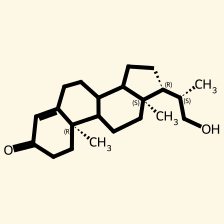 C[C@H](CO)[C@H]1CCC2C3CCC4=CC(=O)CC[C@]4(C)C3CC[C@@]21C